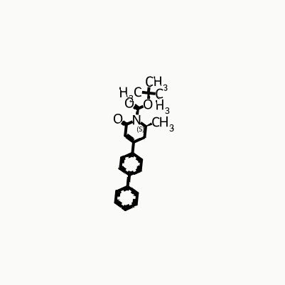 C[C@H]1CC(c2ccc(-c3ccccc3)cc2)=CC(=O)N1C(=O)OC(C)(C)C